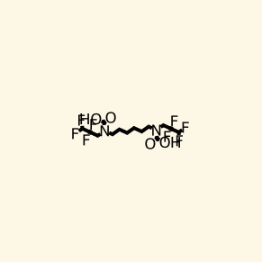 O=C(O)N(CCCCCCN(CC(F)(F)C(F)F)C(=O)O)CC(F)(F)C(F)F